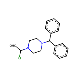 O=CC(Cl)N1CCN(C(c2ccccc2)c2ccccc2)CC1